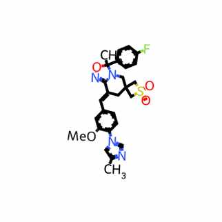 COc1cc(/C=C2\CC3(CN4C2=NOC4(C)c2ccc(F)cc2)CS(=O)(=O)C3)ccc1-n1cnc(C)c1